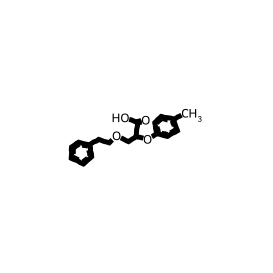 Cc1ccc(OC(COCCc2ccccc2)C(=O)O)cc1